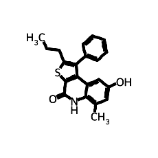 CCCc1sc2c(=O)[nH]c3c(C)cc(O)cc3c2c1-c1ccccc1